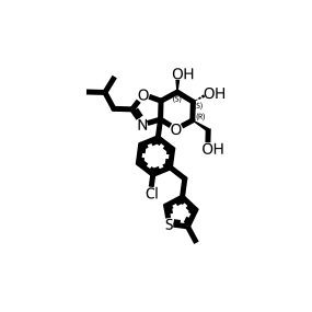 Cc1cc(Cc2cc(C34N=C(CC(C)C)OC3[C@@H](O)[C@H](O)[C@@H](CO)O4)ccc2Cl)cs1